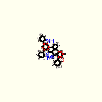 c1ccc(-c2ccccc2-c2nnnc(-c3cccc4oc5ccccc5c34)c2-c2c(-c3ccccc3)cccc2-c2cccc3c2[nH]c2ccccc23)cc1